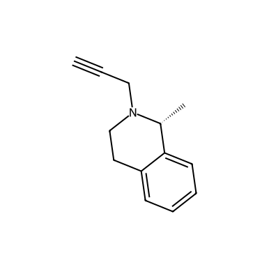 C#CCN1CCc2ccccc2[C@H]1C